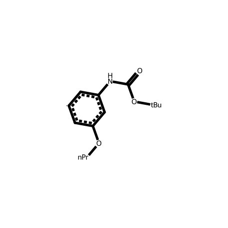 CCCOc1c[c]cc(NC(=O)OC(C)(C)C)c1